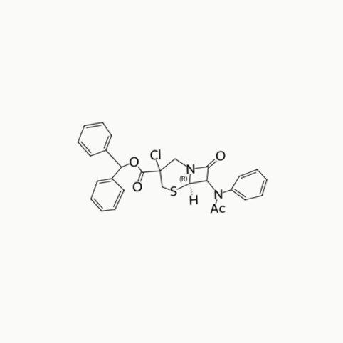 CC(=O)N(c1ccccc1)C1C(=O)N2CC(Cl)(C(=O)OC(c3ccccc3)c3ccccc3)CS[C@H]12